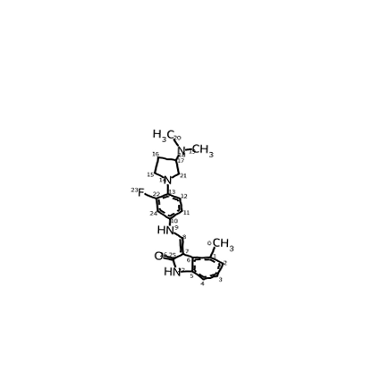 Cc1cccc2c1C(=CNc1ccc(N3CCC(N(C)C)C3)c(F)c1)C(=O)N2